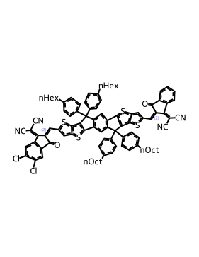 CCCCCCCCc1ccc(C2(c3ccc(CCCCCCCC)cc3)c3cc4c(cc3-c3sc5cc(/C=C6\C(=O)c7ccccc7C6=C(C#N)C#N)sc5c32)C(c2ccc(CCCCCC)cc2)(c2ccc(CCCCCC)cc2)c2c-4sc3cc(/C=C4\C(=O)c5cc(Cl)c(Cl)cc5C4=C(C#N)C#N)sc23)cc1